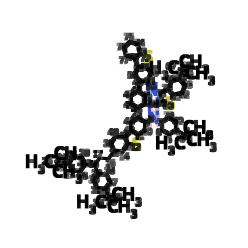 CC(C)(C)c1ccc(Nc2cc3sc4cc(CCC(c5ccc(C(C)(C)C)cc5)c5ccc(C(C)(C)C)cc5)ccc4c3cc2-c2ccc3c4cc5c(cc4n4c3c2Bc2sc3ccc(C(C)(C)C)cc3c2-4)sc2ccccc25)cc1